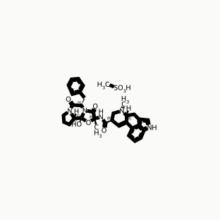 CN1C[C@H](C(=O)N[C@]2(C)O[C@@]3(O)[C@@H]4CCCN4C(=O)[C@H](Cc4ccccc4)N3C2=O)C=C2c3cccc4[nH]cc(c34)C[C@H]21.CS(=O)(=O)O